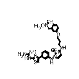 CN(C)Cc1cccc(OCCCNN2C=CN(Nc3cccc(-c4csc(NC(=N)N)n4)c3)[S+]2[O-])c1